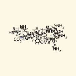 COc1ccc(CC(NC(=O)[C@@H]2CCCN2C(=O)[C@@H](CCCN)NC(=O)CNC(=O)[C@H](CCCN)NC(=O)[C@@H](NC(=O)[C@@H](N)CCCCN)[C@@H](O)CN)C(=O)N[C@@H](CCCCN)C(=O)N/C(=C\CCNC(=N)N)C(=O)O)cc1